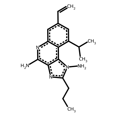 C=Cc1cc(C(C)C)c2c(c1)nc(N)c1nc(CCC)n(N)c12